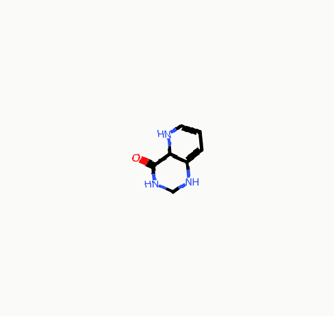 O=C1NCNC2=CC=CNC12